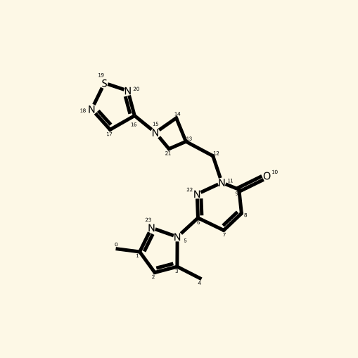 Cc1cc(C)n(-c2ccc(=O)n(CC3CN(c4cnsn4)C3)n2)n1